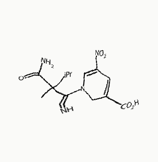 CC(C)C(C)(C(=N)N1C=C([N+](=O)[O-])C=C(C(=O)O)C1)C(N)=O